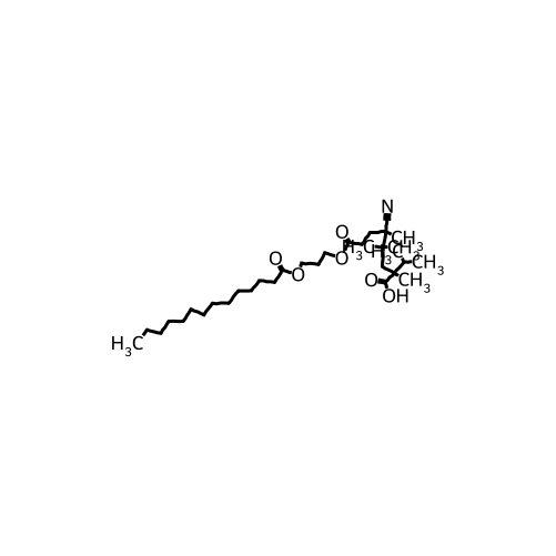 CCCCCCCCCCCCCC(=O)OCCCOC(=O)CCC(C)(C#N)C(C)(C)CC(C)(C(=O)O)C(C)C